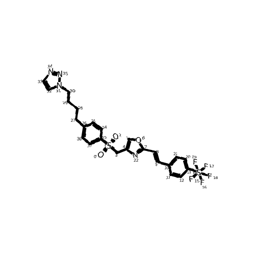 O=S(=O)(Cc1coc(C=Cc2ccc(S(F)(F)(F)(F)F)cc2)n1)c1ccc(CCCCn2ccnn2)cc1